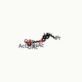 CC(=O)N[C@@H]1[C@@H](OC(C)=O)[C@H](OC(C)=O)[C@@H](COC(C)=O)O[C@H]1SCCCCCCOC1CC[C@@]2(C)C(=CC[C@H]3[C@@H]4CC[C@H]([C@H](C)CCCC(C)C)[C@@]4(C)CC[C@@H]32)C1